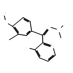 CC(C)(C)[S+]([O-])N=C(c1ccc(OC(F)(F)F)c(F)c1)c1ncccc1Br